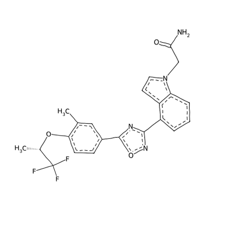 Cc1cc(-c2nc(-c3cccc4c3ccn4CC(N)=O)no2)ccc1O[C@@H](C)C(F)(F)F